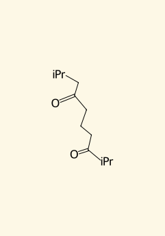 CC(C)CC(=O)CCCC(=O)C(C)C